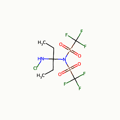 CCC(CC)(NCl)N(S(=O)(=O)C(F)(F)F)S(=O)(=O)C(F)(F)F